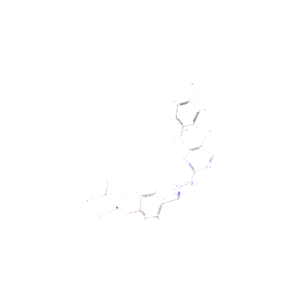 Fc1cnc(N/N=C/c2ccc(OC(F)(F)C(F)F)cc2)nc1Nc1ccc(OC(F)(F)F)cc1